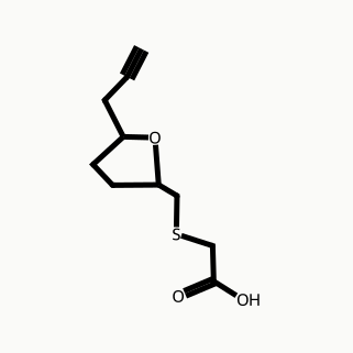 C#CCC1CCC(CSCC(=O)O)O1